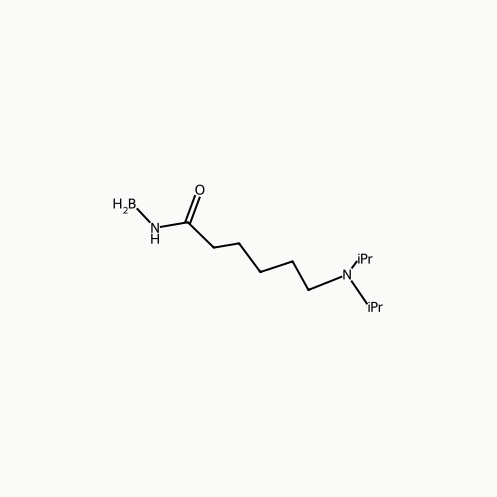 BNC(=O)CCCCCN(C(C)C)C(C)C